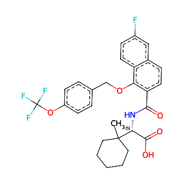 CC1([C@H](NC(=O)c2ccc3cc(F)ccc3c2OCc2ccc(OC(F)(F)F)cc2)C(=O)O)CCCCC1